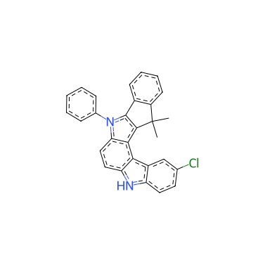 CC1(C)c2ccccc2-c2c1c1c3c(ccc1n2-c1ccccc1)[nH]c1ccc(Cl)cc13